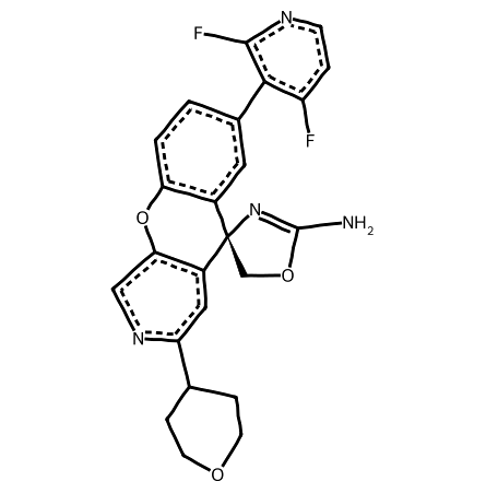 NC1=N[C@@]2(CO1)c1cc(-c3c(F)ccnc3F)ccc1Oc1cnc(C3CCOCC3)cc12